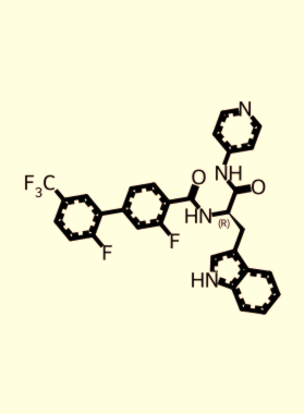 O=C(N[C@H](Cc1c[nH]c2ccccc12)C(=O)Nc1ccncc1)c1ccc(-c2cc(C(F)(F)F)ccc2F)cc1F